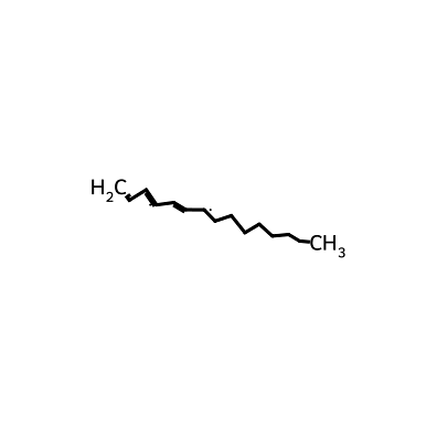 C=C/C=[C]/C=C[CH]CCCCCCCC